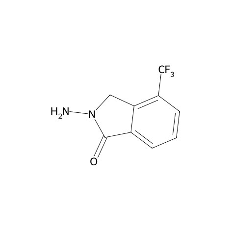 NN1Cc2c(cccc2C(F)(F)F)C1=O